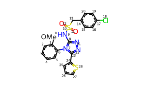 COc1ccccc1-n1c(NS(=O)(=O)Cc2ccc(Cl)cc2)nnc1-c1cccs1